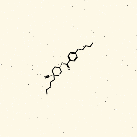 CCCCCc1ccc(C(=O)O[C@H]2CC[C@](C#N)(CCCCC)CC2)cc1